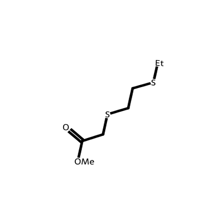 [CH2]CSCCSCC(=O)OC